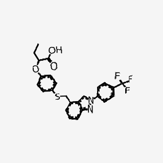 CCC(Oc1ccc(SCc2cccc3nn(-c4ccc(C(F)(F)F)cc4)cc23)cc1)C(=O)O